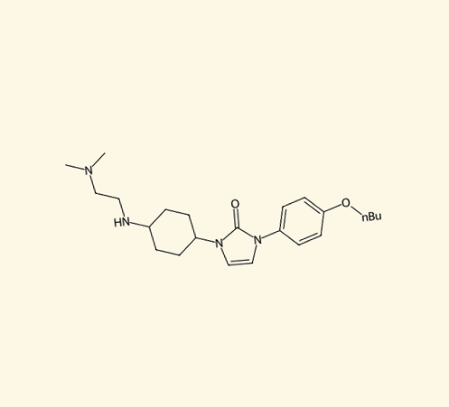 CCCCOc1ccc(-n2ccn(C3CCC(NCCN(C)C)CC3)c2=O)cc1